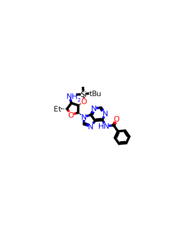 CC[C@H]1O[C@@H](n2cnc3c(NC(=O)c4ccccc4)ncnc32)[C@@H](O[Si](C)(C)C(C)(C)C)C1N